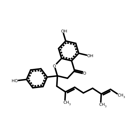 C/C=C(\C)CCC=C(C)CC1(c2ccc(O)cc2)CC(=O)c2c(O)cc(O)cc2O1